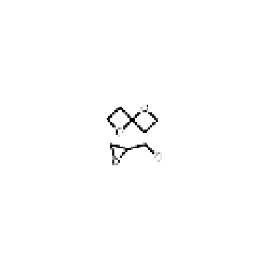 C1CC2(CCO2)O1.ClCC1CO1